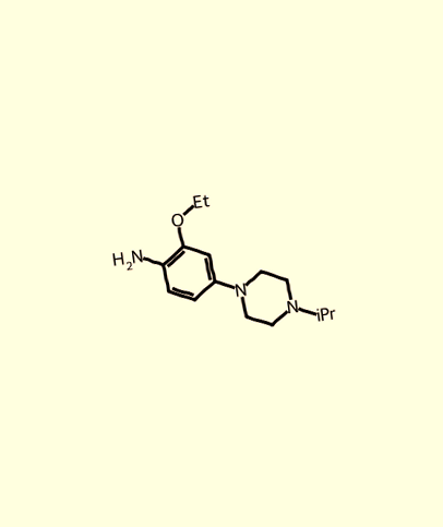 CCOc1cc(N2CCN(C(C)C)CC2)ccc1N